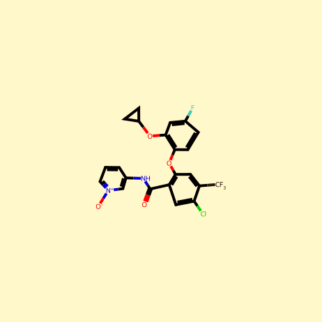 O=C(Nc1ccc[n+]([O-])c1)c1cc(Cl)c(C(F)(F)F)cc1Oc1ccc(F)cc1OC1CC1